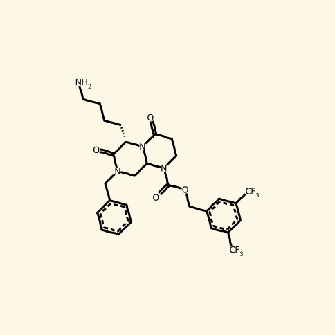 NCCCC[C@H]1C(=O)N(Cc2ccccc2)CC2N(C(=O)OCc3cc(C(F)(F)F)cc(C(F)(F)F)c3)CCC(=O)N21